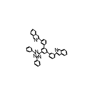 c1ccc(-c2nc(-c3ccccc3)nc(-c3cc(-c4cccc(-c5cc6ccccc6cn5)c4)cc(-c4cccc(-c5cc6ccccc6cn5)c4)c3)n2)cc1